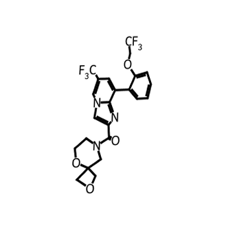 O=C(c1cn2cc(C(F)(F)F)cc(-c3ccccc3OCC(F)(F)F)c2n1)N1CCOC2(COC2)C1